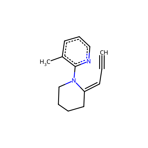 C#C/C=C1/CCCCN1c1ncccc1C